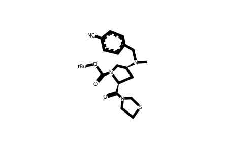 CN(Cc1ccc(C#N)cc1)[C@H]1C[C@@H](C(=O)N2CCSC2)N(C(=O)OC(C)(C)C)C1